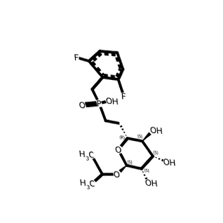 CC(C)O[C@H]1O[C@H](CCP(=O)(O)Cc2c(F)cccc2F)[C@@H](O)[C@H](O)[C@@H]1O